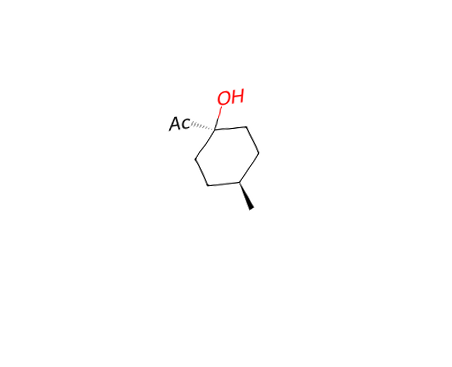 CC(=O)[C@]1(O)CC[C@@H](C)CC1